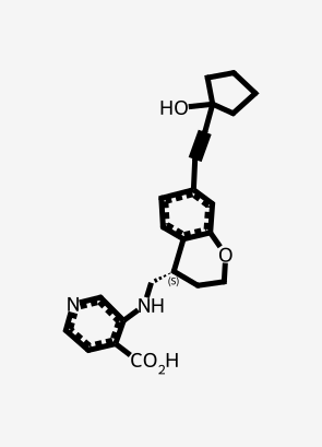 O=C(O)c1ccncc1NC[C@H]1CCOc2cc(C#CC3(O)CCCC3)ccc21